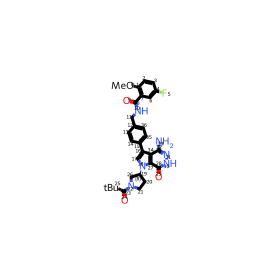 COc1ccc(F)cc1C(=O)NCc1ccc(-c2cn([C@@H]3CCN(C(=O)C(C)(C)C)C3)c3c(=O)[nH]nc(N)c23)cc1